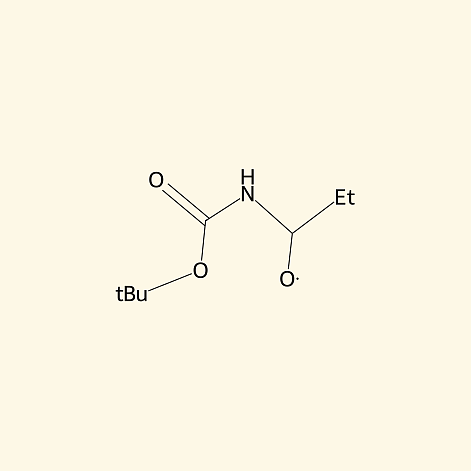 CCC([O])NC(=O)OC(C)(C)C